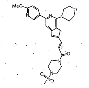 COc1ccc(-c2nc(N3CCOCC3)c3sc(/C=C/C(=O)N4CCN(S(C)(=O)=O)CC4)cc3n2)cn1